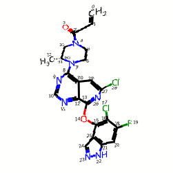 C=CC(=O)N1CCN(c2ncnc3c(Oc4c(Cl)c(F)cc5[nH]ncc45)nc(Cl)cc23)[C@H](C)C1